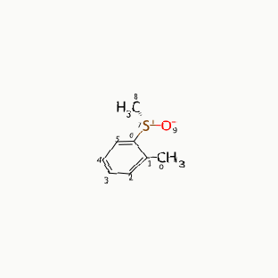 Cc1ccccc1[S@+](C)[O-]